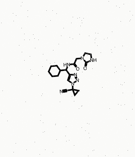 N#CC1(n2cc(C(NC(=O)CN3CCNC3=O)C3CCCCC3)nn2)CC1